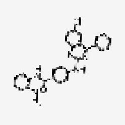 Nc1ccccc1NC(=O)c1ccc(Nc2nc(-c3ccccc3)c3cc(Cl)ccc3n2)cc1